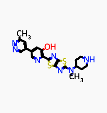 Cc1cc(-c2cnc(-c3nc4sc(N(C)C5CCNCC5)nc4s3)c(O)c2)cnn1